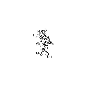 CCCCOCN(C(=O)[C@@H](NC(=O)[C@H]1CCCCN1C)[C@@H](C)CC)[C@H](C[C@@H](OC(C)=O)c1nc(C(=O)N[C@@H](Cc2ccc(O)cc2)C[C@H](C)C(N)=O)cs1)C(C)C